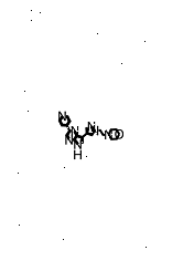 c1cc(-c2cnc3[nH]cc(-c4cnn(CCN5CCOCC5)c4)c3n2)ccn1